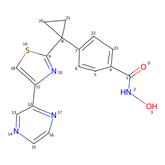 O=C(NO)c1ccc(C2(c3nc(-c4cnccn4)cs3)CC2)cc1